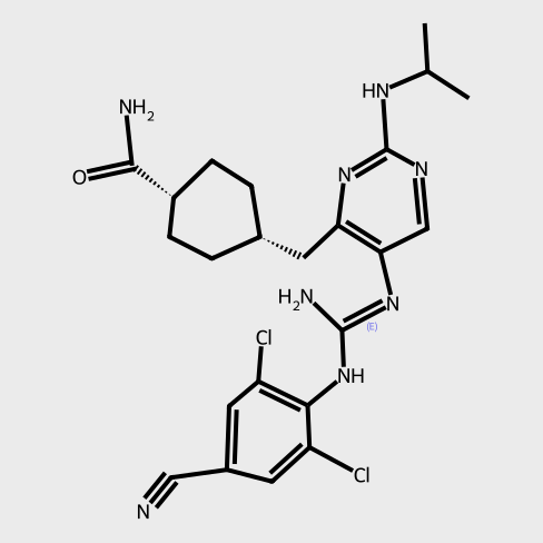 CC(C)Nc1ncc(/N=C(\N)Nc2c(Cl)cc(C#N)cc2Cl)c(C[C@H]2CC[C@@H](C(N)=O)CC2)n1